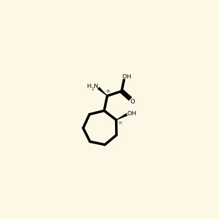 N[C@@H](C(=O)O)C1CCCCC[C@@H]1O